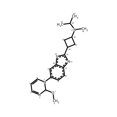 COC1N=CC=CN1c1ccc2nc(C3CC(N(C)C(C)C)C3)sc2c1